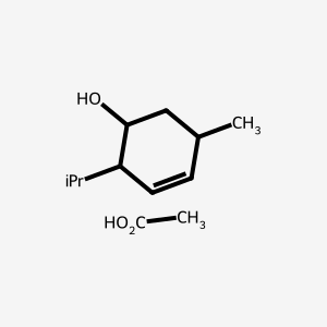 CC(=O)O.CC1C=CC(C(C)C)C(O)C1